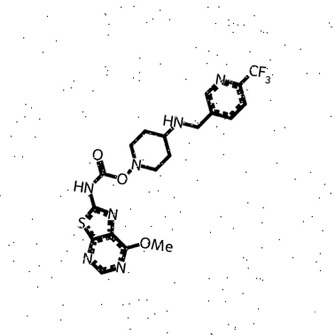 COc1ncnc2sc(NC(=O)ON3CCC(NCc4ccc(C(F)(F)F)nc4)CC3)nc12